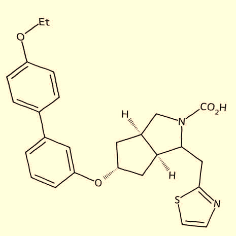 CCOc1ccc(-c2cccc(O[C@@H]3C[C@H]4CN(C(=O)O)C(Cc5nccs5)[C@H]4C3)c2)cc1